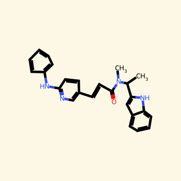 CC(c1cc2ccccc2[nH]1)N(C)C(=O)C=Cc1ccc(Nc2ccccc2)nc1